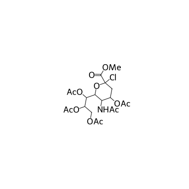 COC(=O)C1(Cl)CC(OC(C)=O)C(NC(C)=O)C(C(OC(C)=O)C(COC(C)=O)OC(C)=O)O1